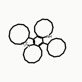 CN1CCCCCCCCc2c(C3CCCCCCCCCC3)c3c(c(C4CCCCCCCCCCC4)c21)CCCCCCCCN3